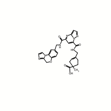 CC1(C(=O)O)CC=C(CNC(=O)c2cc(C(=O)NCc3ccc4c(c3)-n3ccnc3CO4)nc3ccnn23)CC1